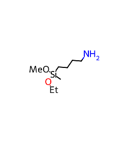 CCO[Si](C)(CCCCN)OC